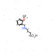 O=S(=O)(O)CCCNCc1ccccc1OC(F)(F)F